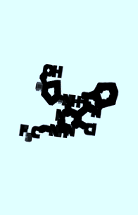 OC[C@@H]1CC[C@H](Nc2nc(NCC(F)(F)F)nc(Cl)c2-c2nc3ccccc3s2)C1